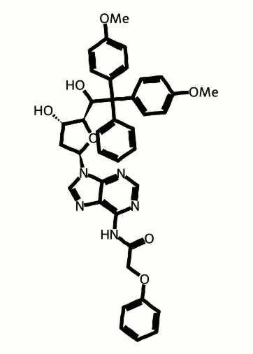 COc1ccc(C(c2ccccc2)(c2ccc(OC)cc2)C(O)[C@H]2O[C@@H](n3cnc4c(NC(=O)COc5ccccc5)ncnc43)C[C@@H]2O)cc1